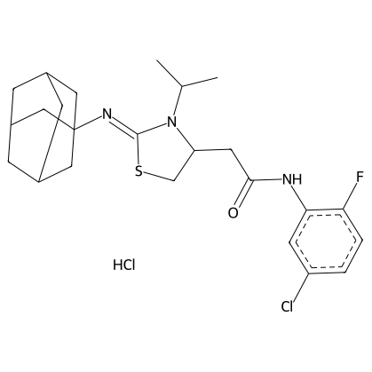 CC(C)N1/C(=N/C23CC4CC(CC(C4)C2)C3)SCC1CC(=O)Nc1cc(Cl)ccc1F.Cl